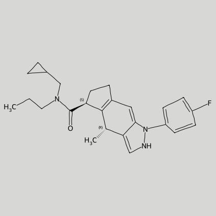 CCCN(CC1CC1)C(=O)[C@H]1CCC2=C1[C@@H](C)C1=CNN(c3ccc(F)cc3)C1=C2